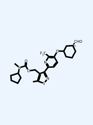 Cc1snc(-c2ccc(OC3CCC[C@H](C=O)C3)c(C(F)(F)F)n2)c1COC(=O)N(C)C1CCCC1